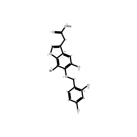 COC(=O)Cc1coc2c(Br)c(OCc3ccc(Cl)cc3Cl)c(Cl)cc12